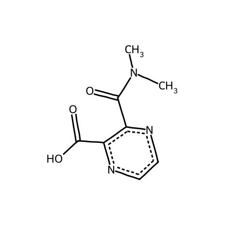 CN(C)C(=O)c1nccnc1C(=O)O